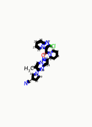 Cc1cn2nc([C@@H]3CCCCN3C(=O)c3c(Cl)nc4ccccn34)cc2nc1N1CC[C@H](C#N)C1